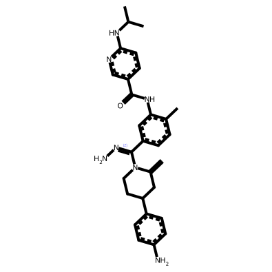 C=C1CC(c2ccc(N)cc2)CCN1/C(=N\N)c1ccc(C)c(NC(=O)c2ccc(NC(C)C)nc2)c1